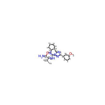 COc1cccc(-c2nc3c4ccccc4nc(N[C@H](C(N)=O)C(C)C)n3n2)c1